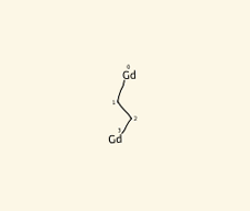 [Gd][CH2][CH2][Gd]